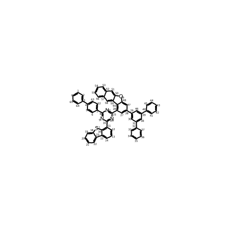 c1ccc(-c2ccc(-c3nc(-c4cccc5c4sc4ccccc45)nc(-c4cc(-c5cc(-c6ccccc6)cc(-c6ccccc6)c5)cc5oc6cc7ccccc7cc6c45)n3)cc2)cc1